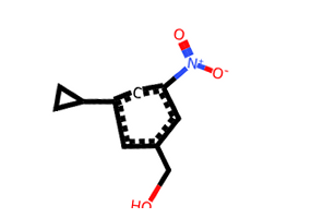 O=[N+]([O-])c1cc(CO)cc(C2CC2)c1